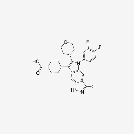 O=C(O)C1CCC(c2c(C3CCOCC3)n(-c3ccc(F)c(F)c3)c3cc4c(Cl)n[nH]c4cc23)CC1